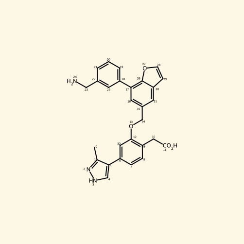 Cc1n[nH]cc1-c1ccc(CC(=O)O)c(OCc2cc(-c3cccc(CN)c3)c3occc3c2)c1